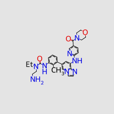 CCN(CCN)C(=O)Nc1cccc(-c2cc(Nc3ccc(C(=O)N4CCOCC4)cn3)c3nccn3c2)c1C